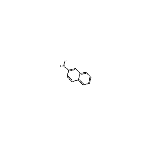 [CH2]Nc1ccc2ccccc2c1